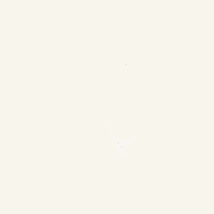 CC1=C(c2ccccc2)[B-](c2ccccc2)(c2ccccc2)[n+]2ccccc21